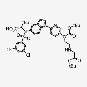 CC(C)(C)OC(=O)CNCCN(C(=O)OC(C)(C)C)c1ccc(-n2ccc3cc(N(C(C(=O)O)C(C)(C)C)S(=O)(=O)c4cc(Cl)cc(Cl)c4)ccc32)nn1